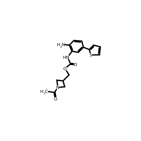 CC(=O)N1CC(COC(=O)Nc2cc(-c3cccs3)ccc2N)C1